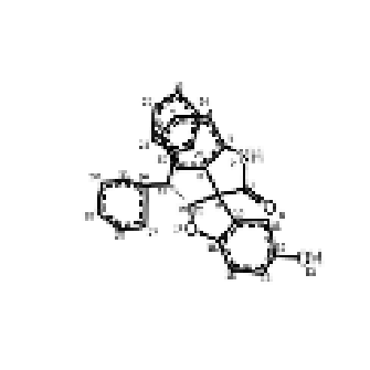 O=C1Nc2ccccc2C12c1cc(O)ccc1O[C@@H]2C(c1ccccc1)c1ccccc1